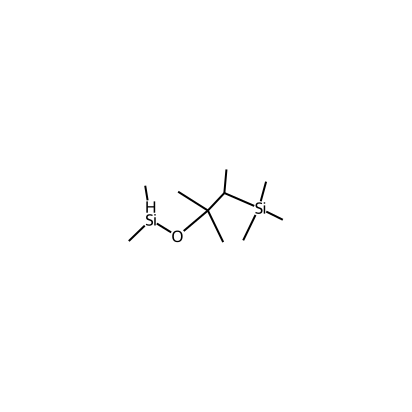 CC(C(C)(C)O[SiH](C)C)[Si](C)(C)C